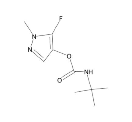 Cn1ncc(OC(=O)NC(C)(C)C)c1F